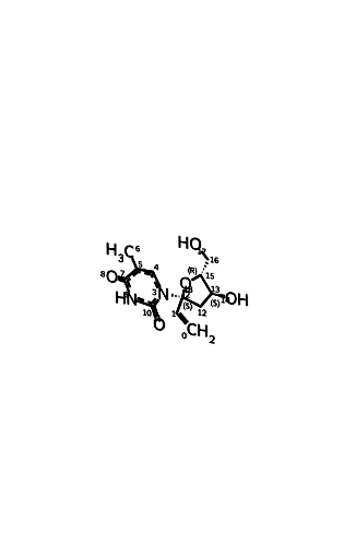 C=C[C@]1(n2cc(C)c(=O)[nH]c2=O)C[C@H](O)[C@@H](CO)O1